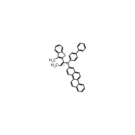 C/C=C(\c1sc2ccccc2c1C)N(c1ccc(-c2ccccc2)cc1)c1ccc2c(ccc3c4ccccc4ccc23)c1